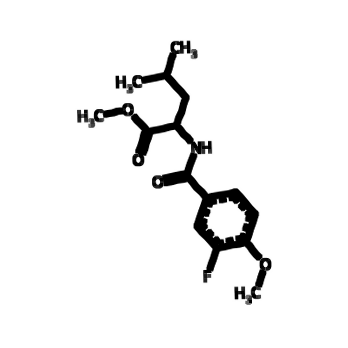 COC(=O)C(CC(C)C)NC(=O)c1ccc(OC)c(F)c1